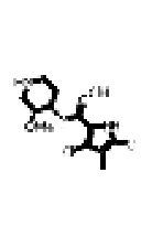 CO[C@H]1CNCC[C@H]1NC(=O)c1[nH]c(Cl)c(C)c1Cl.Cl